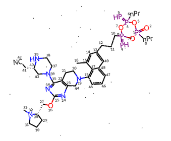 CCCP1(=O)OP(=P)(CCC)OP(=P)(CCCc2cc(C)c3c(N4CCc5c(nc(OC[C@@H]6CCCN6C)nc5N5CCN[C@@H](CC#N)C5)C4)cccc3c2)O1